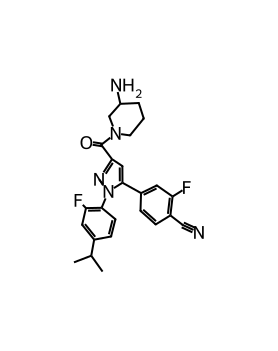 CC(C)c1ccc(-n2nc(C(=O)N3CCCC(N)C3)cc2-c2ccc(C#N)c(F)c2)c(F)c1